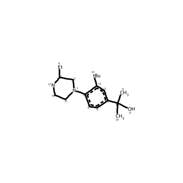 CCC1CN(c2ccc(C(C)(C)O)cc2C(C)(C)C)CC[N]1